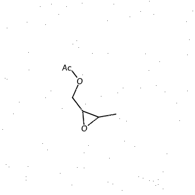 CC(=O)OCC1OC1C